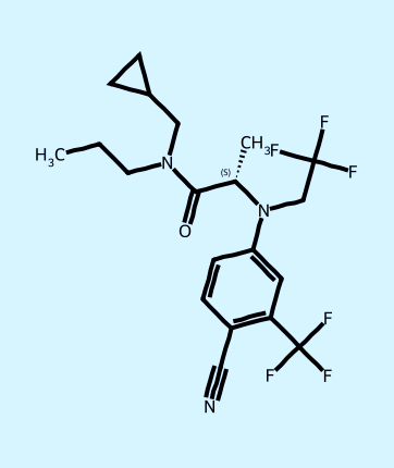 CCCN(CC1CC1)C(=O)[C@H](C)N(CC(F)(F)F)c1ccc(C#N)c(C(F)(F)F)c1